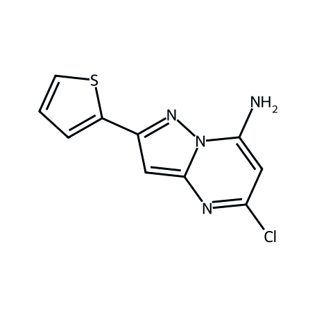 Nc1cc(Cl)nc2cc(-c3cccs3)nn12